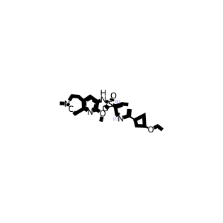 C=C(/N=C\C(=C/C)S(=O)(=O)Nc1cc2c(nc1OC)CCN(C)CC2)[C@H]1C[C@@H](OCC)C1